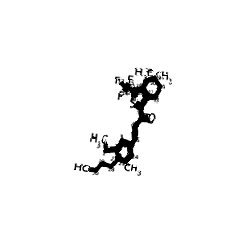 CCc1cc(C=CC(=O)c2sc(C(F)(F)F)c3c2CCC(C)(C)C3)cc(C)c1CCCO